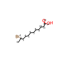 CC(Br)CCCCCCCCCC(=O)O